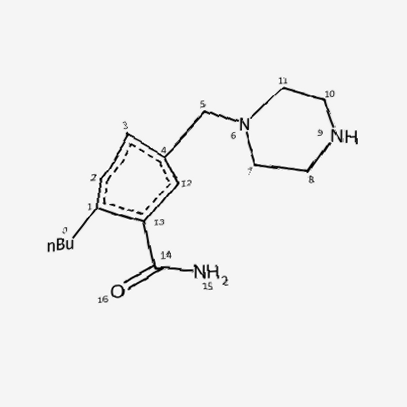 CCCCc1ccc(CN2CCNCC2)cc1C(N)=O